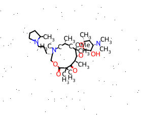 CO[C@]1(C)C[C@@H](C)CN(C)[C@@H](CCCN2CCCC2C)COC(=O)C(C)(C)C(=O)[C@H](C)[C@H]1O[C@@H]1O[C@H](C)C[C@H](N(C)C)[C@H]1O